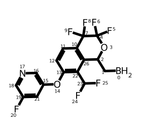 BCC1OC(F)(F)C(F)(F)c2ccc(Oc3cncc(F)c3)c(C(F)F)c21